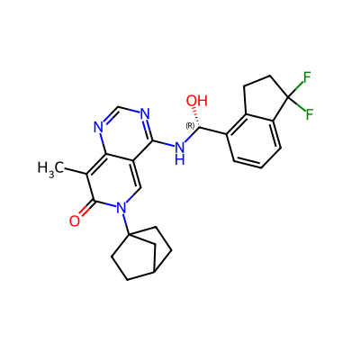 Cc1c(=O)n(C23CCC(CC2)C3)cc2c(N[C@H](O)c3cccc4c3CCC4(F)F)ncnc12